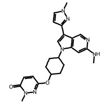 CNc1cc2c(cn1)c(-c1ccn(C)n1)cn2C1CCC(Oc2ccc(=O)n(C)n2)CC1